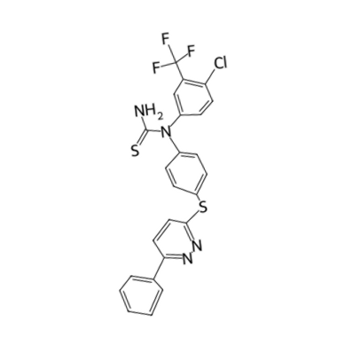 NC(=S)N(c1ccc(Sc2ccc(-c3ccccc3)nn2)cc1)c1ccc(Cl)c(C(F)(F)F)c1